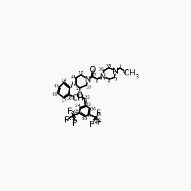 CCN1CCN(CC(=O)N2CC[C@@H](c3ccccc3C)[C@@H](OCc3cc(C(F)(F)F)cc(C(F)(F)F)c3)C2)CC1